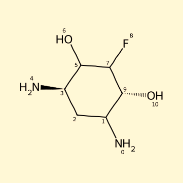 NC1C[C@@H](N)C(O)C(F)[C@@H]1O